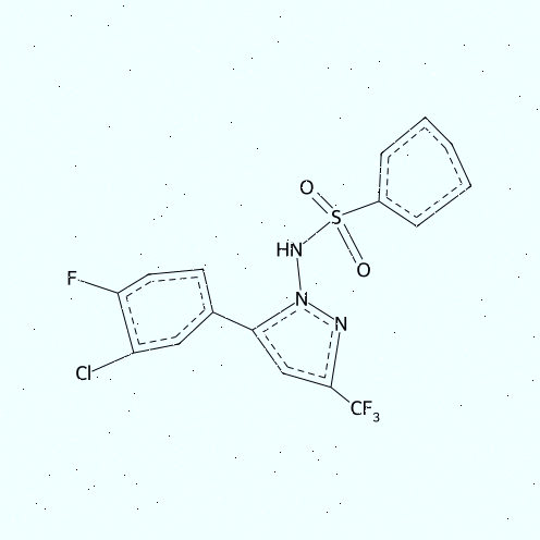 O=S(=O)(Nn1nc(C(F)(F)F)cc1-c1ccc(F)c(Cl)c1)c1ccccc1